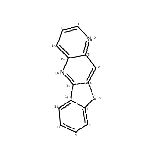 c1cnc2cc3sc4ccccc4c3nc2c1